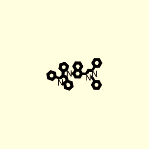 c1ccc(-c2cc(-c3ccc(-n4c5ccccc5c5c(-c6ccccc6)nc6ccccc6c54)c4ccccc34)nc(-c3ccccc3)n2)cc1